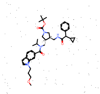 COCCCn1ccc2ccc(C(=O)N(C[C@@H]3CN(C(=O)OC(C)(C)C)C[C@H]3CNC(=O)C(c3ccccc3)C3CC3)C(C)C)cc21